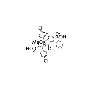 CCC(O)(c1cc(F)c2c(c1)C(=O)N(C(c1ccc(Cl)cc1)C(C)C(=O)O)[C@@]2(OC)c1ccc(Cl)cc1)C1CCOCC1